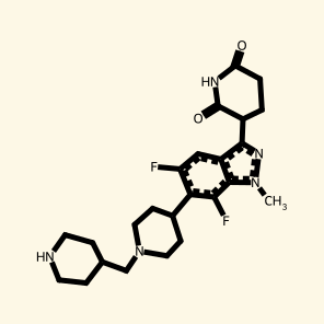 Cn1nc(C2CCC(=O)NC2=O)c2cc(F)c(C3CCN(CC4CCNCC4)CC3)c(F)c21